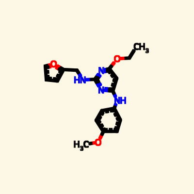 CCOc1cc(Nc2ccc(OC)cc2)nc(NCc2ccco2)n1